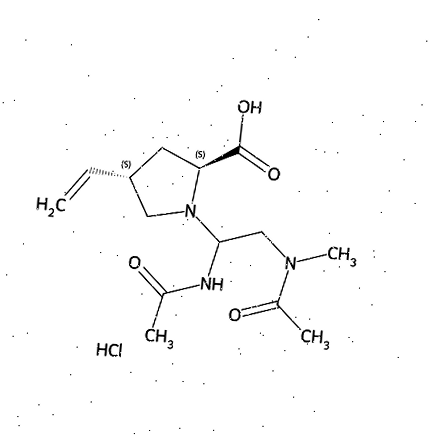 C=C[C@@H]1C[C@@H](C(=O)O)N(C(CN(C)C(C)=O)NC(C)=O)C1.Cl